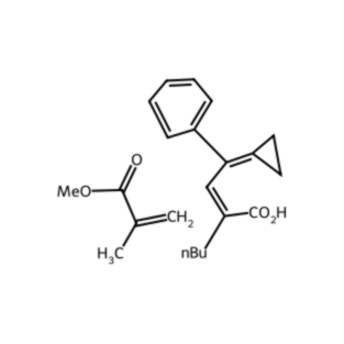 C=C(C)C(=O)OC.CCCCC(=CC(=C1CC1)c1ccccc1)C(=O)O